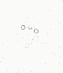 O=C(NCCN(C(=O)C(Cl)Cl)c1cccc(-c2cc(-c3c(Cl)cccc3Cl)no2)c1)C1CC(O)CN1